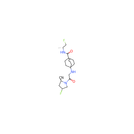 C[C@H](CF)NC(=O)C12CCC(NCC(=O)N3C[C@@H](F)C[C@H]3C#N)(CC1)CC2